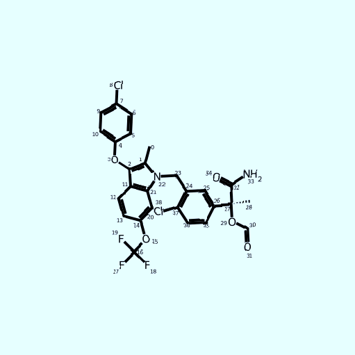 Cc1c(Oc2ccc(Cl)cc2)c2ccc(OC(F)(F)F)cc2n1Cc1cc([C@](C)(OC=O)C(N)=O)ccc1Cl